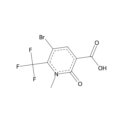 Cn1c(C(F)(F)F)c(Br)cc(C(=O)O)c1=O